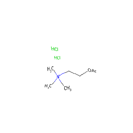 CC(=O)OCC[N+](C)(C)C.Cl.Cl